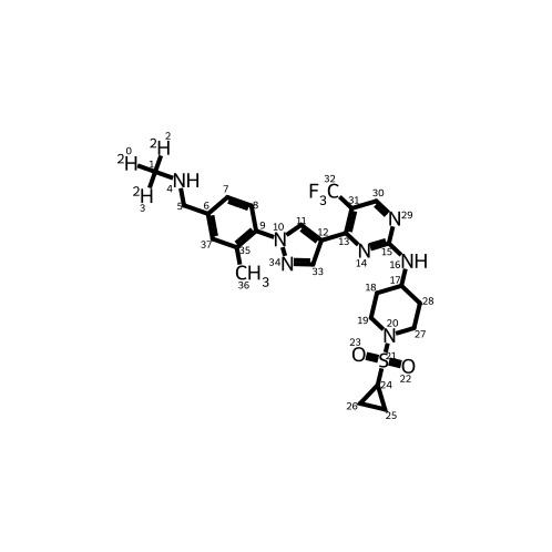 [2H]C([2H])([2H])NCc1ccc(-n2cc(-c3nc(NC4CCN(S(=O)(=O)C5CC5)CC4)ncc3C(F)(F)F)cn2)c(C)c1